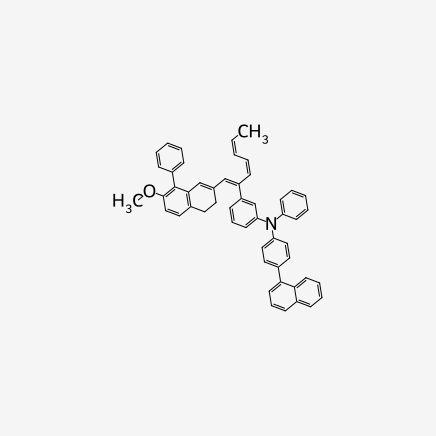 C\C=C/C=C\C(=C\C1=Cc2c(ccc(OC)c2-c2ccccc2)CC1)c1cccc(N(c2ccccc2)c2ccc(-c3cccc4ccccc34)cc2)c1